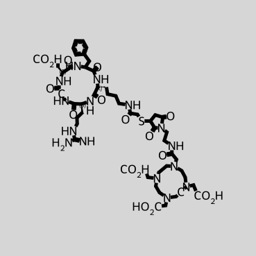 N=C(N)NCCC[C@@H]1NC(=O)[C@@H](CCCCNC(=O)CSC2CC(=O)N(CCNC(=O)CN3CCN(CC(=O)O)CCN(CC(=O)O)CCN(CC(=O)O)CC3)C2=O)NC(=O)C(Cc2ccccc2)NC(=O)[C@H](CC(=O)O)NC(=O)CNC1=O